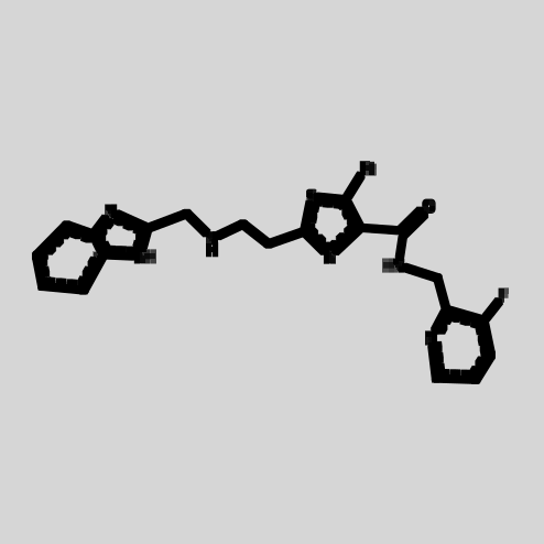 CCc1sc(CCNCc2nc3ccccc3[nH]2)nc1C(=O)NCc1ncccc1F